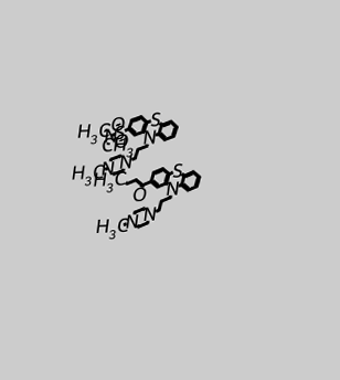 CCCC(=O)c1ccc2c(c1)N(CCCN1CCN(C)CC1)c1ccccc1S2.CN1CCN(CCCN2c3ccccc3Sc3ccc(S(=O)(=O)N(C)C)cc32)CC1